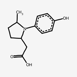 CC1CCC(CC(=O)O)N1c1ccc(O)cc1